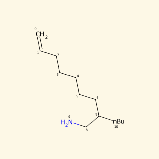 C=CCCCCCC(CN)CCCC